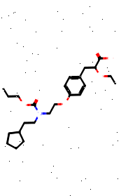 CCCOC(=O)N(CCOc1ccc(CC(OCC)C(=O)O)cc1)CCC1CCCC1